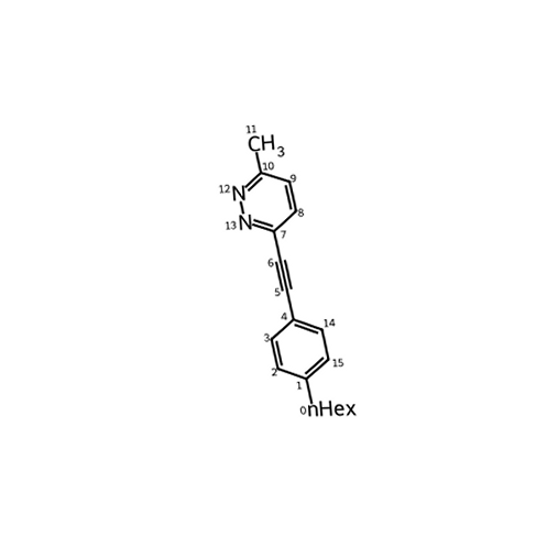 CCCCCCc1ccc(C#Cc2ccc(C)nn2)cc1